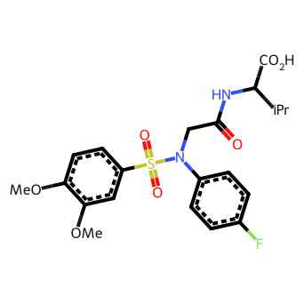 COc1ccc(S(=O)(=O)N(CC(=O)NC(C(=O)O)C(C)C)c2ccc(F)cc2)cc1OC